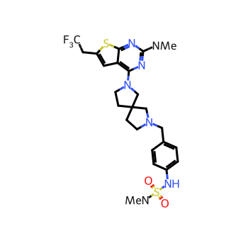 CNc1nc(N2CCC3(CCN(Cc4ccc(NS(=O)(=O)NC)cc4)C3)C2)c2cc(CC(F)(F)F)sc2n1